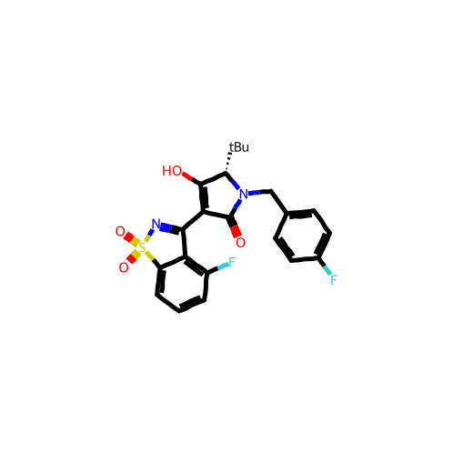 CC(C)(C)[C@H]1C(O)=C(C2=NS(=O)(=O)c3cccc(F)c32)C(=O)N1Cc1ccc(F)cc1